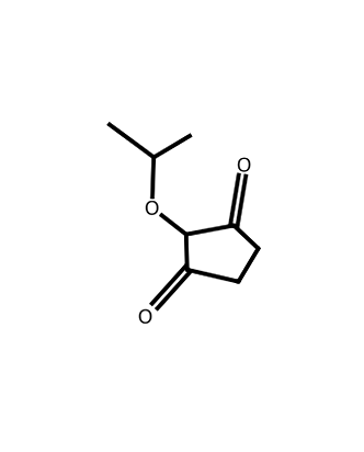 CC(C)OC1C(=O)CCC1=O